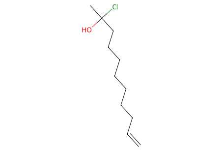 C=CCCCCCCCC(C)(O)Cl